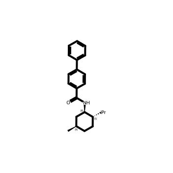 CC(C)[C@@H]1CC[C@@H](C)C[C@H]1NC(=O)c1ccc(-c2ccccc2)cc1